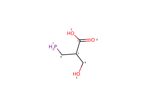 O=C(O)C(CO)CP